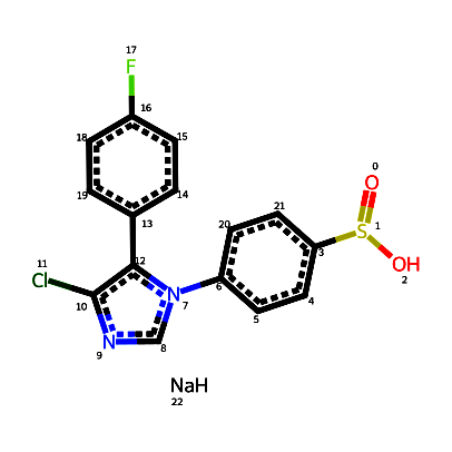 O=S(O)c1ccc(-n2cnc(Cl)c2-c2ccc(F)cc2)cc1.[NaH]